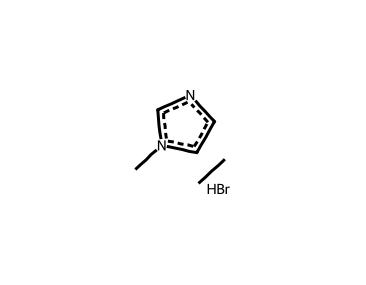 Br.CC.Cn1ccnc1